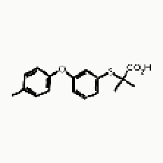 Cc1ccc(Oc2cccc(SC(C)(C)C(=O)O)c2)cc1